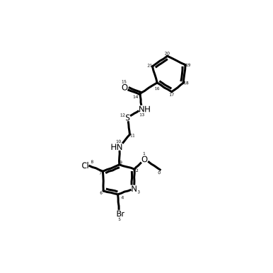 COc1nc(Br)cc(Cl)c1NCSNC(=O)c1ccccc1